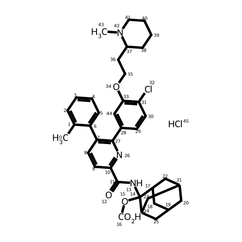 Cc1ccccc1-c1ccc(C(=O)NC2(OC(=O)O)C3CC4CC(C3)CC2C4)nc1-c1ccc(Cl)c(OCCC2CCCCN2C)c1.Cl